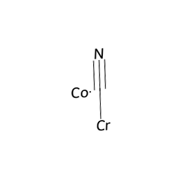 N#[C][Cr].[Co]